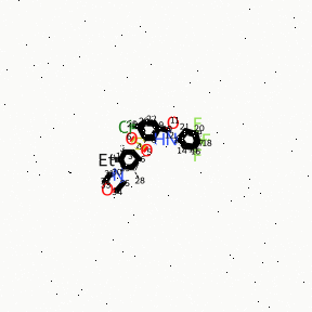 CCC1C[C@@H](S(=O)(=O)c2cc(C(=O)Nc3cc(F)c(F)c(F)c3)ccc2Cl)C[C@H](C)[C@H]1N1CCOCC1